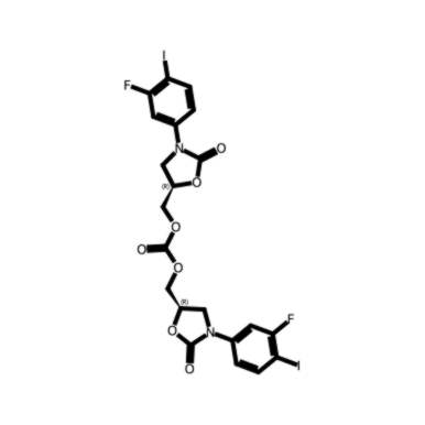 O=C(OC[C@H]1CN(c2ccc(I)c(F)c2)C(=O)O1)OC[C@H]1CN(c2ccc(I)c(F)c2)C(=O)O1